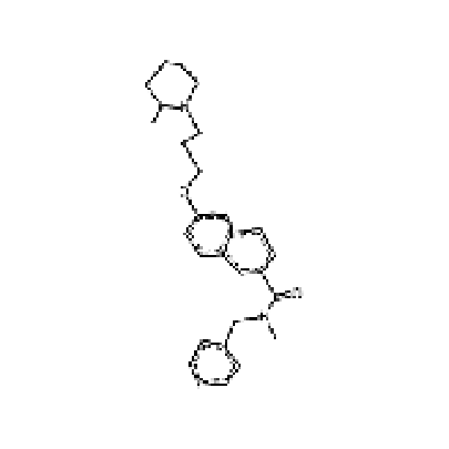 CC1CCCCN1CCCOc1ccc2cc(C(=O)N(C)Cc3ccccc3)ccc2c1